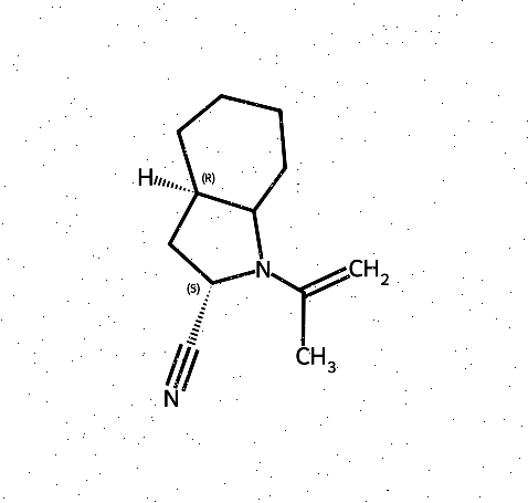 C=C(C)N1C2CCCC[C@@H]2C[C@H]1C#N